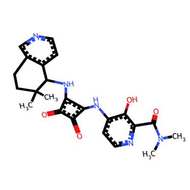 CN(C)C(=O)c1nccc(Nc2c(NC3c4ccncc4CCC3(C)C)c(=O)c2=O)c1O